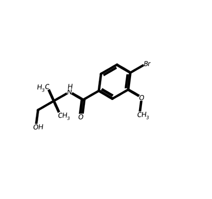 COc1cc(C(=O)NC(C)(C)CO)ccc1Br